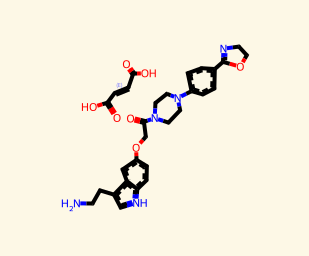 NCCc1c[nH]c2ccc(OCC(=O)N3CCN(c4ccc(C5=NCCO5)cc4)CC3)cc12.O=C(O)/C=C/C(=O)O